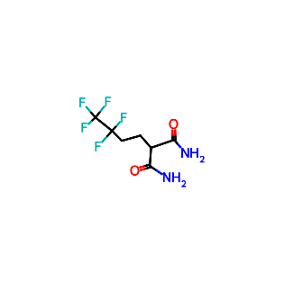 NC(=O)C(CCC(F)(F)C(F)(F)F)C(N)=O